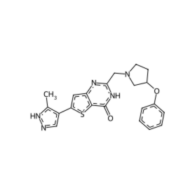 Cc1[nH]ncc1-c1cc2nc(CN3CCC(Oc4ccccc4)C3)[nH]c(=O)c2s1